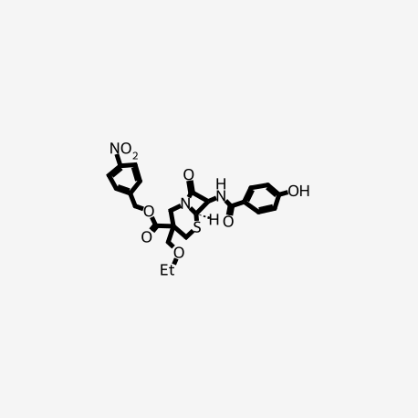 CCOCC1(C(=O)OCc2ccc([N+](=O)[O-])cc2)CS[C@@H]2C(NC(=O)c3ccc(O)cc3)C(=O)N2C1